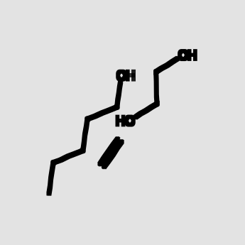 C=C.CCCCCO.OCCO